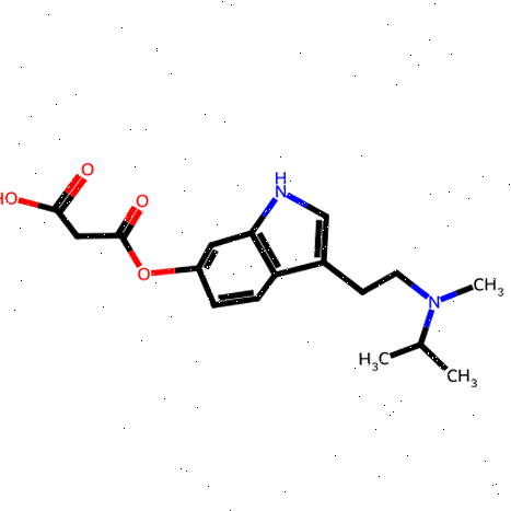 CC(C)N(C)CCc1c[nH]c2cc(OC(=O)CC(=O)O)ccc12